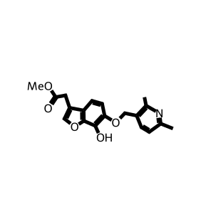 COC(=O)Cc1coc2c(O)c(OCc3ccc(C)nc3C)ccc12